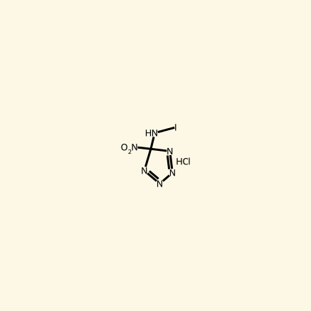 Cl.O=[N+]([O-])C1(NI)N=NN=N1